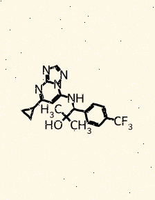 CC(C)(O)[C@@H](Nc1cc(C2CC2)nc2ncnn12)c1ccc(C(F)(F)F)cc1